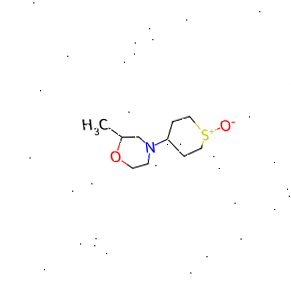 CC1CN(C2CC[S+]([O-])CC2)CCO1